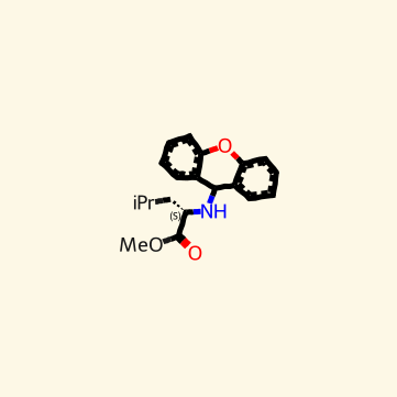 COC(=O)[C@H](CC(C)C)NC1c2ccccc2Oc2ccccc21